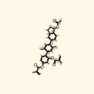 C=C(C)C(=O)Oc1ccc(-c2cc(C)c(-c3ccc4c(c3)CCC4OC(C)=O)cc2C)c(OC(=O)C(=C)C)c1